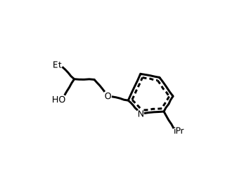 CCC(O)COc1cccc(C(C)C)n1